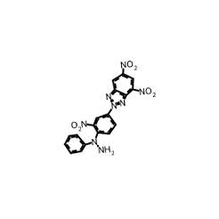 NN(c1ccccc1)c1ccc(-n2nc3cc([N+](=O)[O-])cc([N+](=O)[O-])c3n2)cc1[N+](=O)[O-]